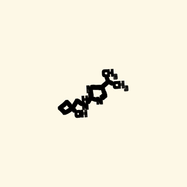 CC(C)c1cnc(NCC2(O)CCC2)nc1